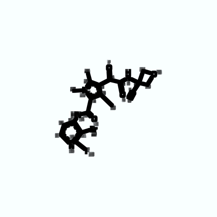 C#CC1(NC(=O)C(=O)c2c(C)c(C(=O)Nc3ccnc(F)c3Br)n(C)c2C)COC1